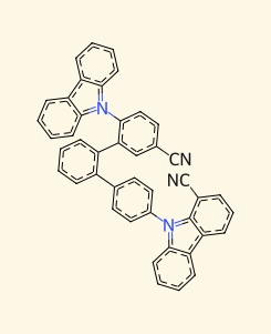 N#Cc1ccc(-n2c3ccccc3c3ccccc32)c(-c2ccccc2-c2ccc(-n3c4ccccc4c4cccc(C#N)c43)cc2)c1